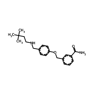 CC(C)(C)CCNCc1ccc(OCc2cccc(C(N)=O)c2)cc1